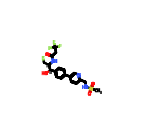 CS(=O)(=O)NCc1ccc(-c2ccc([C@H](O)[C@@H](CF)NC(=O)CC(F)(F)F)cc2)cn1